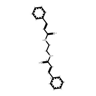 O=C(C=Cc1ccccc1)OCCOC(=O)C=Cc1ccccc1